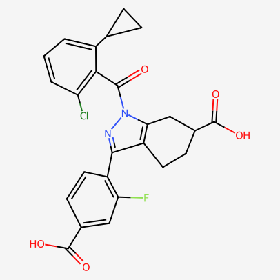 O=C(O)c1ccc(-c2nn(C(=O)c3c(Cl)cccc3C3CC3)c3c2CCC(C(=O)O)C3)c(F)c1